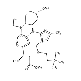 COC(=O)C[C@@H](C)c1ccc(N(CC(C)C)[C@H]2CC[C@@H](OC)CC2)c(Nc2nc(C(F)(F)F)cn2COCCS(C)(C)C)c1